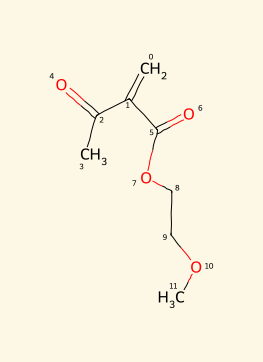 C=C(C(C)=O)C(=O)OCCOC